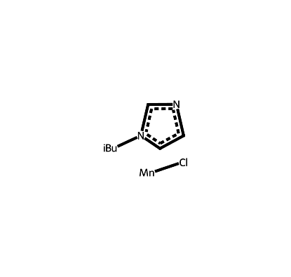 CCC(C)n1ccnc1.[Cl][Mn]